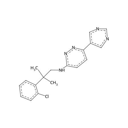 CC(C)(CNc1ccc(-c2cncnc2)nn1)c1ccccc1Cl